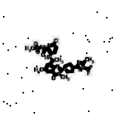 Cc1cc([C@@H](C)Nc2ccc(Cl)nc2C(=O)NS(C)(=O)=O)c2nc(N3CCC(c4nc(C)n(C(F)F)n4)CC3)n(C)c(=O)c2c1